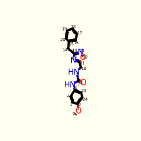 COc1ccc(NC(=O)NCc2nc(Cc3ccccc3)no2)cc1